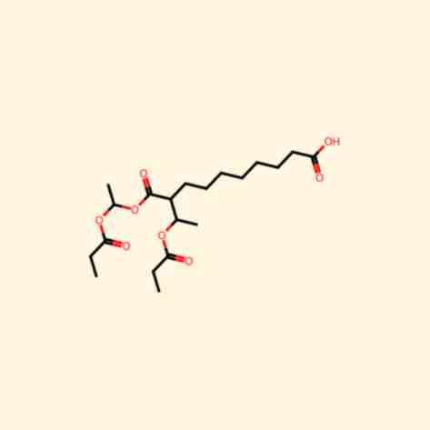 CCC(=O)OC(C)OC(=O)C(CCCCCCCC(=O)O)C(C)OC(=O)CC